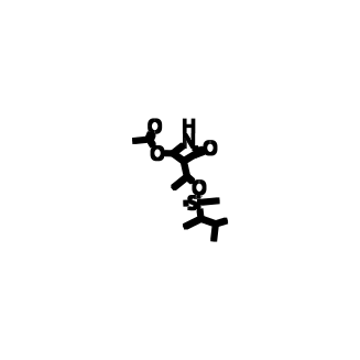 CC(=O)OC1NC(=O)C1C(C)O[Si](C)(C)C(C)C(C)C